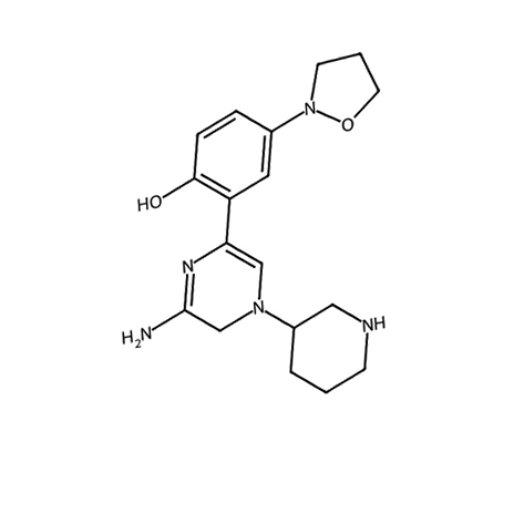 NC1=NC(c2cc(N3CCCO3)ccc2O)=CN(C2CCCNC2)C1